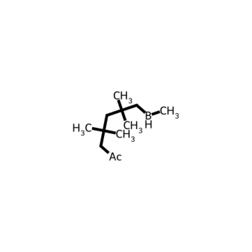 CBCC(C)(C)CC(C)(C)CC(C)=O